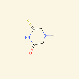 CN1CC(=O)NC(=S)C1